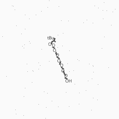 CC(CC(=O)OCCOCCOCCOCCOCCOCCOCCO)CC(C)(C)C